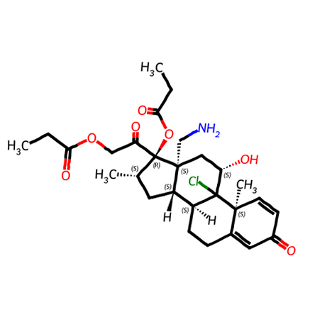 CCC(=O)OCC(=O)[C@@]1(OC(=O)CC)[C@@H](C)C[C@H]2[C@@H]3CCC4=CC(=O)C=C[C@]4(C)C3(Cl)[C@@H](O)C[C@@]21CN